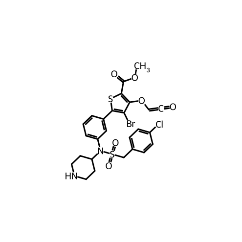 COC(=O)c1sc(-c2cccc(N(C3CCNCC3)S(=O)(=O)Cc3ccc(Cl)cc3)c2)c(Br)c1OC=C=O